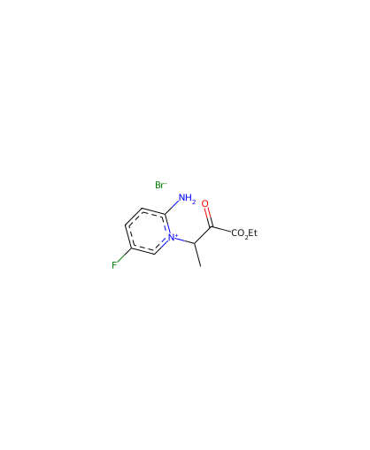 CCOC(=O)C(=O)C(C)[n+]1cc(F)ccc1N.[Br-]